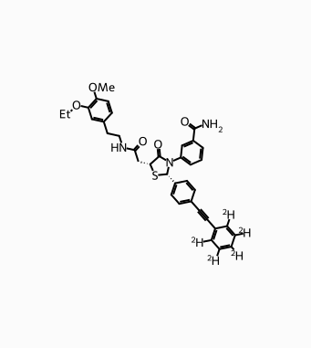 [2H]c1c([2H])c([2H])c(C#Cc2ccc([C@@H]3S[C@H](CC(=O)NCCc4ccc(OC)c(OCC)c4)C(=O)N3c3cccc(C(N)=O)c3)cc2)c([2H])c1[2H]